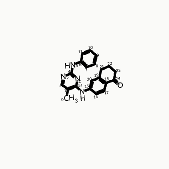 Cc1cnc(Nc2ccccc2)nc1Nc1ccc2c(c1)CCCC2=O